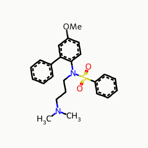 COc1ccc(N(CCCN(C)C)S(=O)(=O)c2ccccc2)c(-c2ccccc2)c1